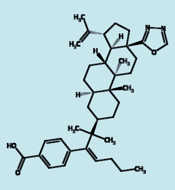 C=C(C)[C@@H]1CC[C@]2(c3nnco3)CC[C@]3(C)[C@H](CC[C@@H]4C[C@H](C(C)(C)/C(=C\CCC)c5ccc(C(=O)O)cc5)CC[C@]43C)[C@@H]12